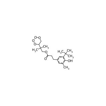 Cc1cc(CCC(=O)OCC(C)(C)C2COOOO2)cc(C(C)(C)C)c1O